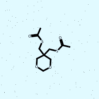 CC(=O)SCC1(CSC(C)=O)COCOC1